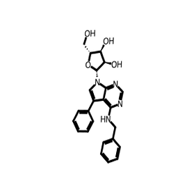 OC[C@H]1O[C@@H](n2cc(-c3ccccc3)c3c(NCc4ccccc4)ncnc32)[C@H](O)[C@@H]1O